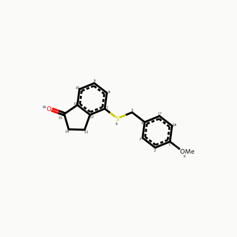 COc1ccc(CSc2cccc3c2CCC3=O)cc1